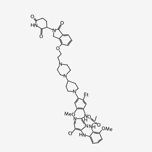 CCc1cc(Nc2ncc(Cl)c(Nc3cccc(OC)c3NS(C)(=O)=O)n2)c(OC)cc1N1CCC(N2CCN(CCOc3cccc4c3CN(C3CCC(=O)NC3=O)C4=O)CC2)CC1